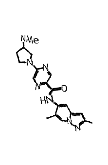 CNC1CCN(c2cnc(C(=O)Nc3cc4cc(C)nn4cc3C)cn2)C1